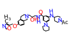 CC(=O)N1CCC(Nc2cc(C(=O)NC[C@H](O)CN3CCc4cc(OCc5ocnc5C)ccc4C3)cc(N3CCCCC3)c2)CC1